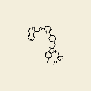 O=C(O)c1ccc2nc(CN3CCC(c4cccc(OCc5nccc6ccccc56)n4)CC3)n(CC3=CCO3)c2c1